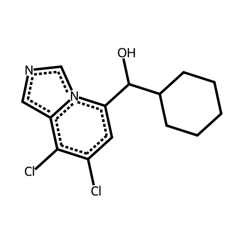 OC(c1cc(Cl)c(Cl)c2cncn12)C1CCCCC1